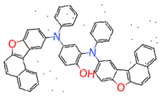 Oc1ccc(N(c2ccccc2)c2ccc3oc4ccc5ccccc5c4c3c2)cc1N(c1ccccc1)c1ccc2oc3ccc4ccccc4c3c2c1